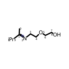 C/C(=N\CCOCCO)C(C)C